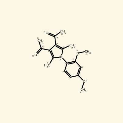 COc1ccc(-n2c(C)c(C(C)=O)c(C(C)=O)c2C)c(OC)c1